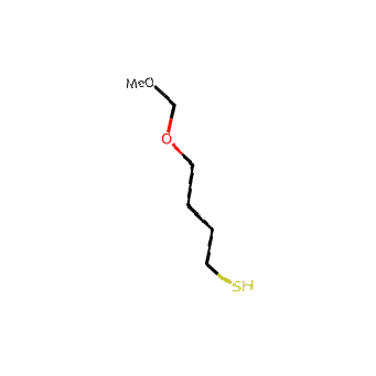 COCOCCCCS